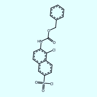 O=C(Nc1ccc2cc(S(=O)(=O)Cl)ccc2c1Cl)OCc1ccccc1